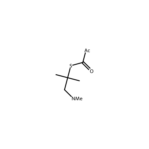 CNCC(C)(C)SC(=O)C(C)=O